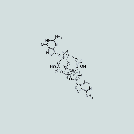 CC(C)(C)[Si](C)(C)OC1C23COP(=O)(O)O[C@H]4[C@@H](F)[C@H](n5cnc6c(N)ncnc65)O[C@@H]4COP(=O)(O)O[C@]14[C@H](n1cnc5c(=O)[nH]c(N)nc51)[C@]24C3